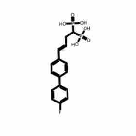 O=P(O)(O)C(C/C=C/c1ccc(-c2ccc(F)cc2)cc1)P(=O)(O)O